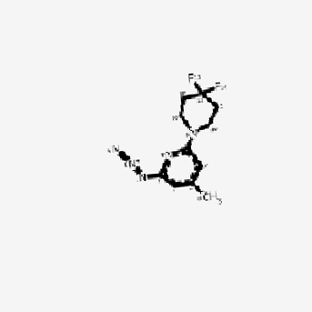 Cc1cc(N=[N+]=[N-])nc(N2CCC(F)(F)CC2)c1